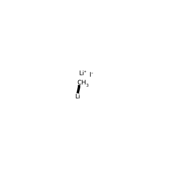 [I-].[Li+].[Li][CH3]